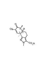 [C-]#[N+]C1=C[C@]2(C)c3nn(C)c(C(=O)O)c3CC[C@H]2[C@H](C)C1=O